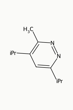 Cc1nnc(C(C)C)cc1C(C)C